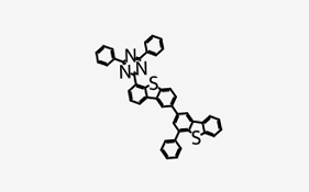 c1ccc(-c2nc(-c3ccccc3)nc(-c3cccc4c3sc3ccc(-c5cc(-c6ccccc6)c6sc7ccccc7c6c5)cc34)n2)cc1